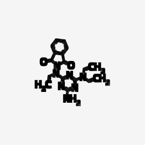 C=CN(C=C)c1nc(N)nc(N(C=C)N2C(=O)c3ccccc3C2=O)n1